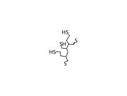 S=CC(CCS)CC(CS)C(C=S)CCS